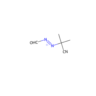 CC(C)(C#N)/N=N/C=O